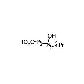 CCCC=C(O)C=CC(=O)O